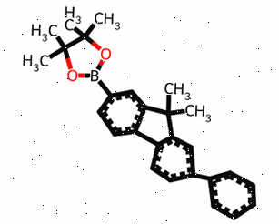 CC1(C)c2cc(B3OC(C)(C)C(C)(C)O3)ccc2-c2ccc(-c3ccccc3)cc21